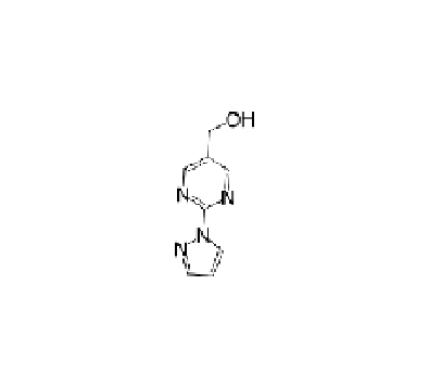 OCc1cnc(-n2cccn2)nc1